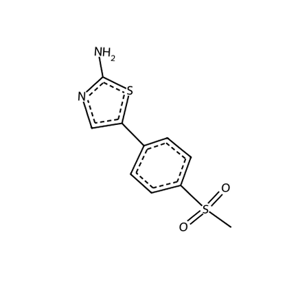 CS(=O)(=O)c1ccc(-c2cnc(N)s2)cc1